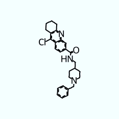 O=C(NCC1CCN(Cc2ccccc2)CC1)c1ccc2c(Cl)c3c(nc2c1)CCCC3